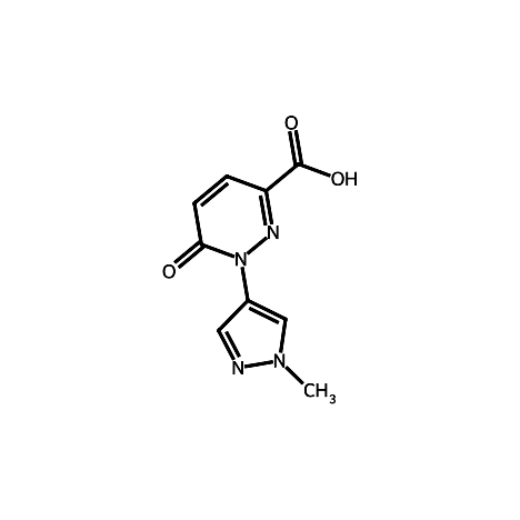 Cn1cc(-n2nc(C(=O)O)ccc2=O)cn1